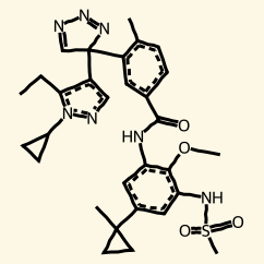 CCc1c(C2(c3cc(C(=O)Nc4cc(C5(C)CC5)cc(NS(C)(=O)=O)c4OC)ccc3C)C=NN=N2)cnn1C1CC1